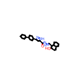 O=C(N/N=C/c1c(O)ccc2ccccc12)c1cc(-c2ccc(-c3ccccc3)cc2)n[nH]1